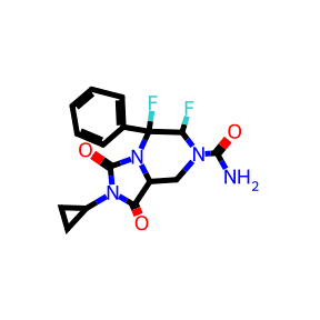 NC(=O)N1CC2C(=O)N(C3CC3)C(=O)N2C(F)(c2ccccc2)C1F